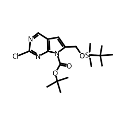 CC(C)(C)OC(=O)n1c(CO[Si](C)(C)C(C)(C)C)cc2cnc(Cl)nc21